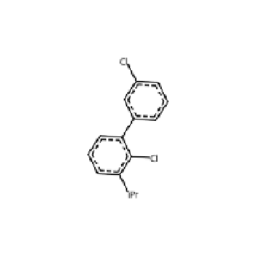 CC(C)c1cccc(-c2cccc(Cl)c2)c1Cl